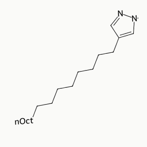 CCCCCCCCCCCCCCCCC1=C[N]N=C1